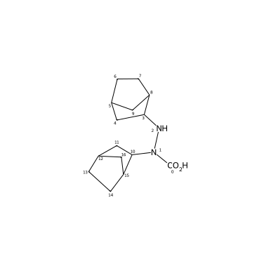 O=C(O)N(NC1CC2CCC1C2)C1CC2CCC1C2